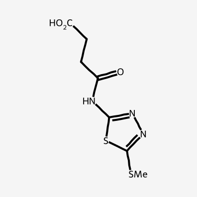 CSc1nnc(NC(=O)CCC(=O)O)s1